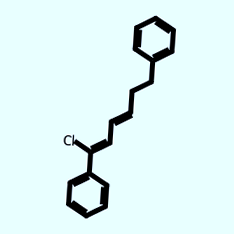 ClC(=CC=CCCc1ccccc1)c1ccccc1